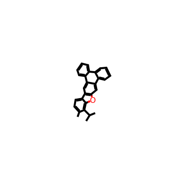 Cc1ccc2c(oc3cc4c5ccccc5c5ccccc5c4cc32)c1C(C)C